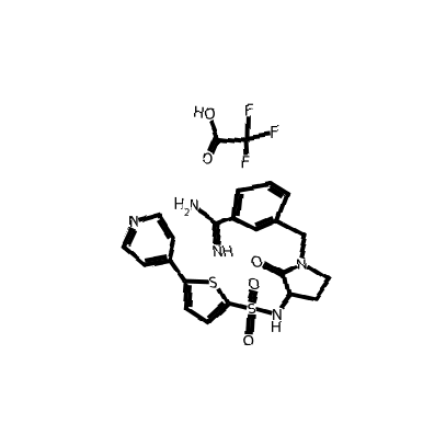 N=C(N)c1cccc(CN2CCC(NS(=O)(=O)c3ccc(-c4ccncc4)s3)C2=O)c1.O=C(O)C(F)(F)F